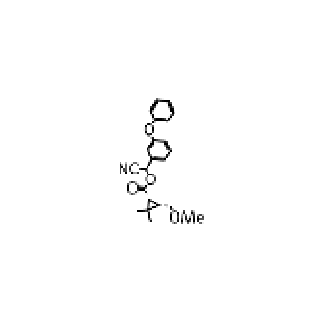 COC[C@H]1[C@@H](C(=O)OC(C#N)c2cccc(Oc3ccccc3)c2)C1(C)C